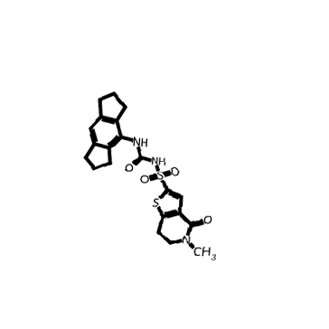 CN1CCc2sc(S(=O)(=O)NC(=O)Nc3c4c(cc5c3CCC5)CCC4)cc2C1=O